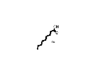 CCCCCCCCC(=O)O.[Zn]